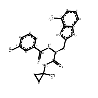 N#CC1(NC(=O)[C@H](Cc2nc3cccc(C(F)(F)F)c3o2)NC(=O)c2cccc(Cl)c2)CC1